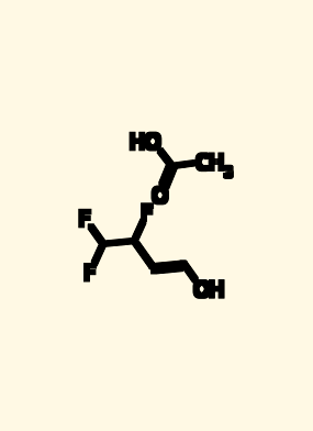 CC(=O)O.OC=CC(F)C(F)F